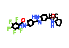 CC1CCCCC1NC(=O)c1ccc2[nH]c(-c3ccc(NC(=O)c4c(F)c(F)c(F)c(F)c4F)cc3)nc2c1